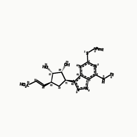 CCCCCSc1nc(NCC)c2nnn([C@H]3C[C@@H](/C=C/C(=O)O)[C@H](O)[C@@H]3O)c2n1